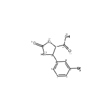 O=C1NC(c2cccc(Br)c2)C(C(=O)O)O1